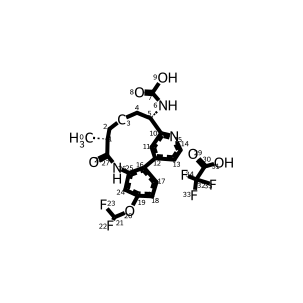 C[C@@H]1CCC[C@H](NC(=O)O)c2cc(ccn2)-c2ccc(OC(F)F)cc2NC1=O.O=C(O)C(F)(F)F